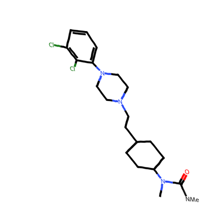 CNC(=O)N(C)C1CCC(CCN2CCN(c3cccc(Cl)c3Cl)CC2)CC1